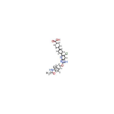 CC(=O)NC(C)(C)[C@H]1CC[C@H](Oc2nc3nc(-c4ccc(C5=CCC(C(=O)O)CC5)cc4)c(Cl)cc3[nH]2)CC1